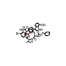 CC(C)[C@@H]1NC(=O)[C@@H](NC(=O)OCc2ccccc2)Cc2ccc3c(c2)C2(c4cccc(Br)c4N[C@H]2O3)c2oc1nc2-c1ncc(-c2c[nH]c3c(O)cccc23)o1